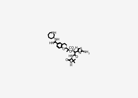 CC1(C)NC(=O)[C@H]1NC(=O)/C(=N\O[C@](C)(C(=O)O)[C@H]1CCc2cc(C(=N)N[C@@H]3CCCCNC3)ccc2O1)c1csc(N)n1